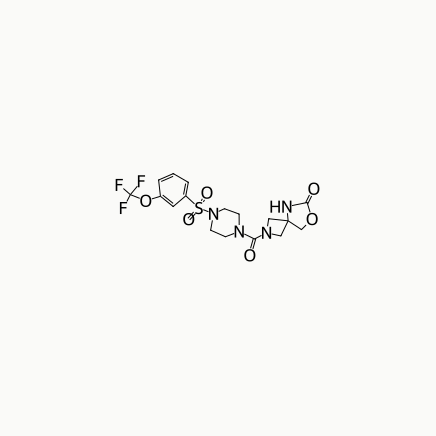 O=C1NC2(CO1)CN(C(=O)N1CCN(S(=O)(=O)c3cccc(OC(F)(F)F)c3)CC1)C2